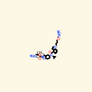 CC(C)(CN=[N+]=[N-])OC(=O)n1cc2c(n1)CCC(N(C(=O)c1cccc3c1ccn3CCCCOCN=[N+]=[N-])C1CC1)C2